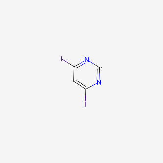 Ic1cc(I)n[c]n1